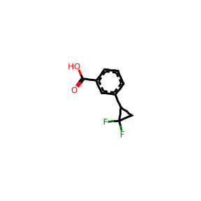 O=C(O)c1cccc(C2CC2(F)F)c1